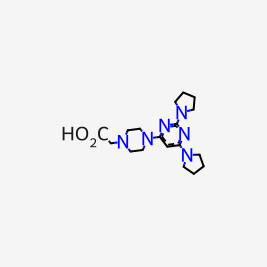 O=C(O)CN1CCN(c2cc(N3CCCC3)nc(N3CCCC3)n2)CC1